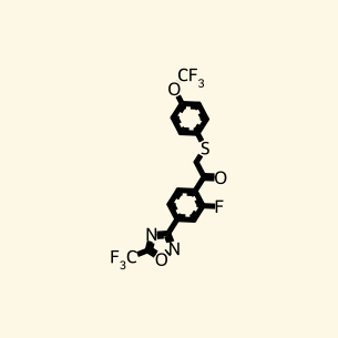 O=C(CSc1ccc(OC(F)(F)F)cc1)c1ccc(-c2noc(C(F)(F)F)n2)cc1F